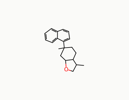 CC1COC2CC(C)(c3cccc4ccccc34)CCC12